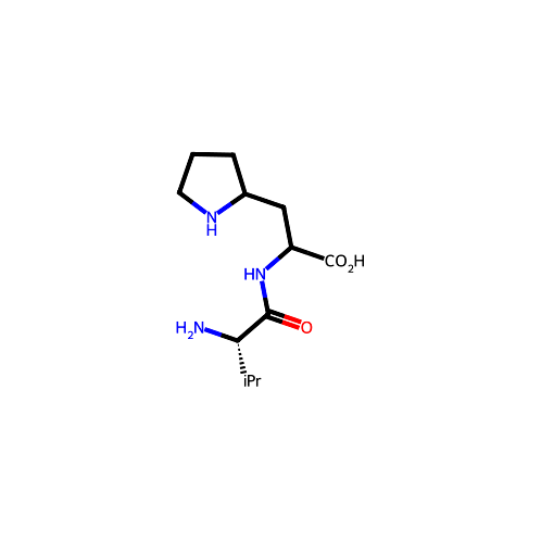 CC(C)[C@H](N)C(=O)NC(CC1CCCN1)C(=O)O